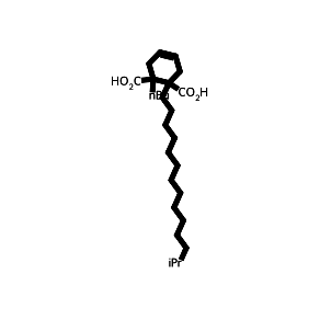 CCCCC1(C(=O)O)CC=CCC1(CCCCCCCCCCCCC(C)C)C(=O)O